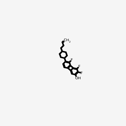 C=CCCC1CCC(c2ccc3c(c2F)-c2c-3cc(O)c(F)c2F)CC1